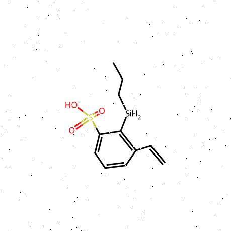 C=Cc1cccc(S(=O)(=O)O)c1[SiH2]CCC